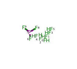 F.F.F.F.F.F.FP(F)F